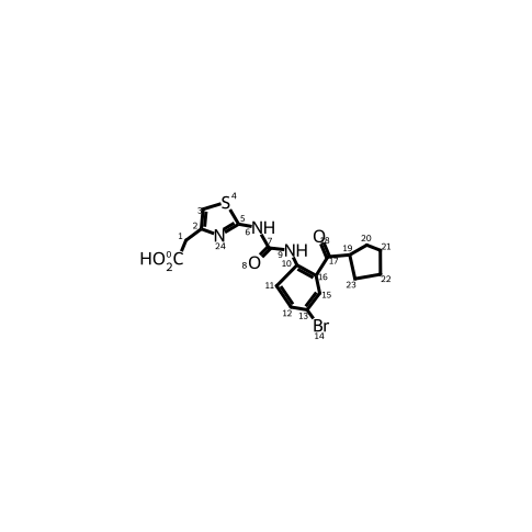 O=C(O)Cc1csc(NC(=O)Nc2ccc(Br)cc2C(=O)C2CCCC2)n1